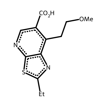 CCc1nc2c(CCOC)c(C(=O)O)cnc2s1